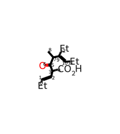 CCC=CC(C(=O)O)C(=O)C(C)C(=CCC)CC